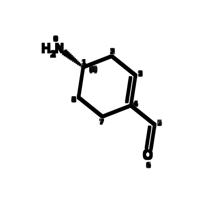 N[C@@H]1CC=C(C=O)CC1